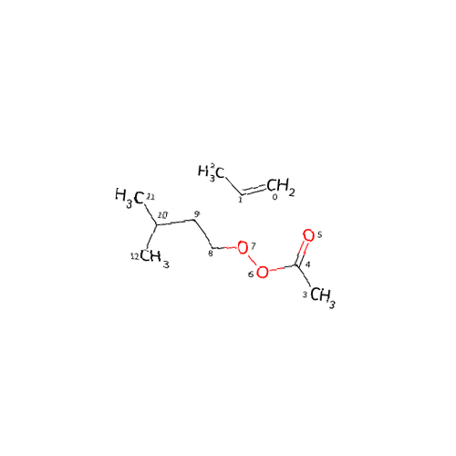 C=CC.CC(=O)OOCCC(C)C